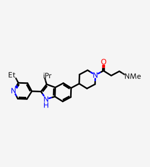 CCc1cc(-c2[nH]c3ccc(C4CCN(C(=O)CCNC)CC4)cc3c2C(C)C)ccn1